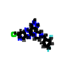 Cn1cc(-c2nc3cc(Cl)ncc3nc2N2CCN(Cc3ccc(F)cc3F)CC2)cn1